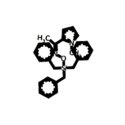 CC(=NO[Si](Cc1ccccc1)(Cc1ccccc1)Cc1ccccc1)c1cccn1C